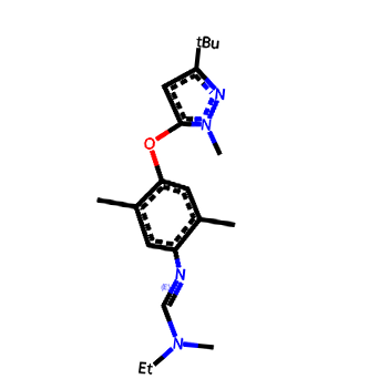 CCN(C)/C=N/c1cc(C)c(Oc2cc(C(C)(C)C)nn2C)cc1C